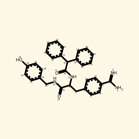 N=C(N)c1ccc(CC(NC(=O)C(c2ccccc2)c2ccccc2)C(=O)NCc2ccc(O)cc2)cc1